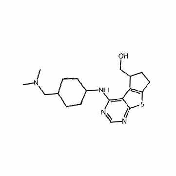 CN(C)CC1CCC(Nc2ncnc3sc4c(c23)C(CO)CC4)CC1